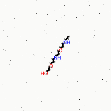 CCCNCCCOCCCNCCCOCCCO